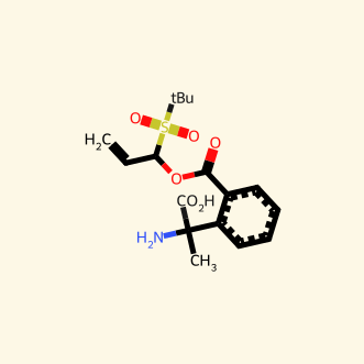 C=CC(OC(=O)c1ccccc1C(C)(N)C(=O)O)S(=O)(=O)C(C)(C)C